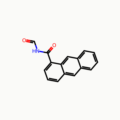 O=CNC(=O)c1cccc2cc3ccccc3cc12